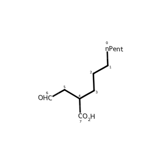 CCCCCCCCC(CC=O)C(=O)O